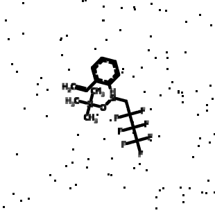 C=Cc1ccccc1[SiH](CC(F)(F)C(F)(F)C(F)(F)F)O[Si](C)(C)C